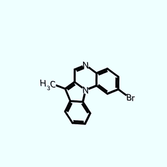 Cc1c2ccccc2n2c1cnc1ccc(Br)cc12